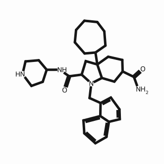 NC(=O)C1CCC2(C3CCCCCCC3)CC(C(=O)NC3CCNCC3)N(Cc3cccc4ccccc34)C2C1